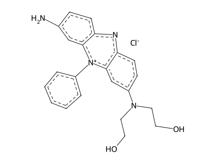 Nc1ccc2nc3ccc(N(CCO)CCO)cc3[n+](-c3ccccc3)c2c1.[Cl-]